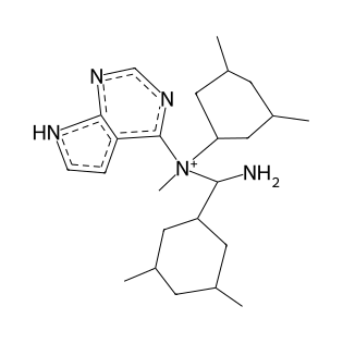 CC1CC(C)CC(C(N)[N+](C)(c2ncnc3[nH]ccc23)C2CC(C)CC(C)C2)C1